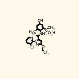 Cc1cc(C#N)cc(N(C)C(=O)O)c1NC(=O)c1cc(OCC(F)(F)F)nn1-c1ncccc1Cl